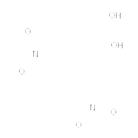 O=[N+]([O-])C1=CC(O)(CO)C=C([N+](=O)[O-])C1c1ccccc1